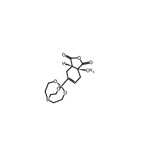 C[C@@]12CC=C([Si]34OCCN(CCO3)CCO4)C[C@@H]1C(=O)OC2=O